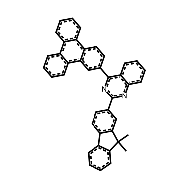 CC1(C)c2ccccc2-c2ccc(-c3nc(-c4ccc5c6ccccc6c6ccccc6c5c4)c4ccccc4n3)cc21